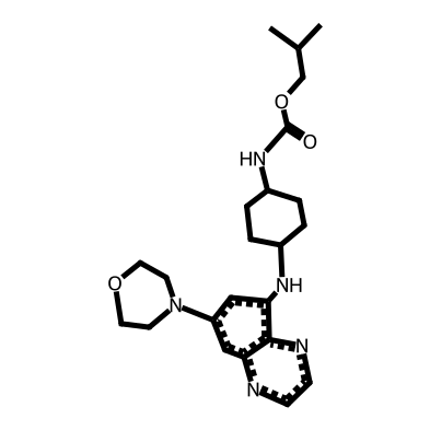 CC(C)COC(=O)NC1CCC(Nc2cc(N3CCOCC3)cc3nccnc23)CC1